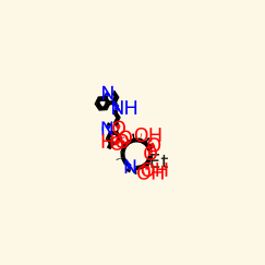 CC[C@H]1OC(=O)[C@H](C)[C@@H](O)[C@H](C)[C@@H](O[C@@H]2OC(C)C[C@H](N(C)C)[C@H]2OCCCNc2ccnc3ccccc23)[C@](C)(O)C[C@@H](C)CN(C)[C@H](C)[C@@H](O)[C@]1(C)O